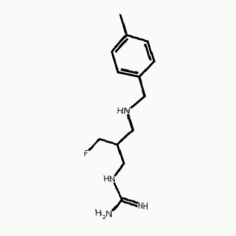 Cc1ccc(CNCC(CF)CNC(=N)N)cc1